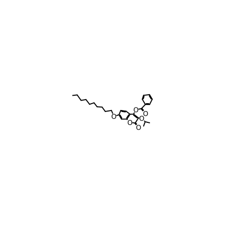 CCCCCCCCCCOc1ccc2c(OC(=O)c3ccccc3)c(OC(C)C)c(=O)oc2c1